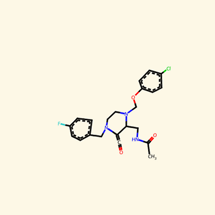 CC(=O)NCC1C(=C=O)N(Cc2ccc(F)cc2)CCN1COc1ccc(Cl)cc1